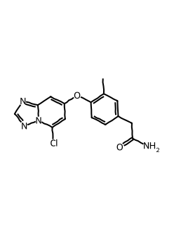 Cc1cc(CC(N)=O)ccc1Oc1cc(Cl)n2ncnc2c1